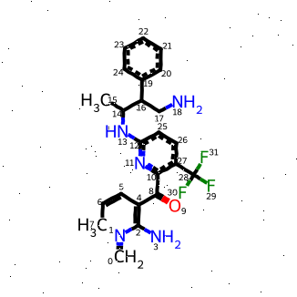 C=N/C(N)=C(\C=C/C)C(=O)c1nc(NC(C)C(CN)c2ccccc2)ccc1C(F)(F)F